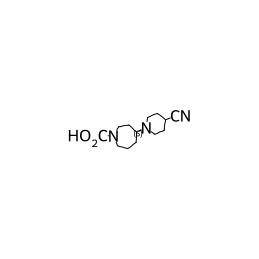 N#CC1CCN([C@H]2CCCN(C(=O)O)CC2)CC1